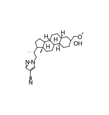 COC[C@@]1(O)CC[C@H]2[C@H](CC[C@@H]3[C@@H]2CC[C@]2(C)C([C@@H](C)Cn4cc(C#N)cn4)CC[C@@H]32)C1